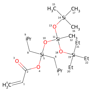 C=CC(=O)O[Si](CC(C)C)(CC(C)C)O[Si](C)(O[Si](C)(C)C)O[Si](CC)(CC)CC